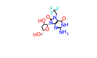 Nc1nc2c(c(=O)[nH]1)n(CC(F)(F)F)c(=O)n2[C@@H]1O[C@H](CO)C[C@H]1O